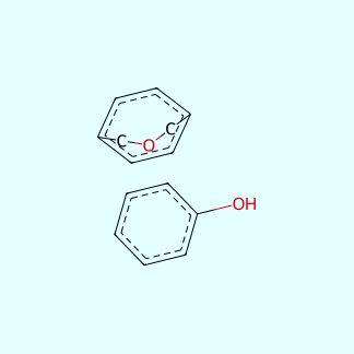 Oc1ccccc1.c1cc2ccc1COC2